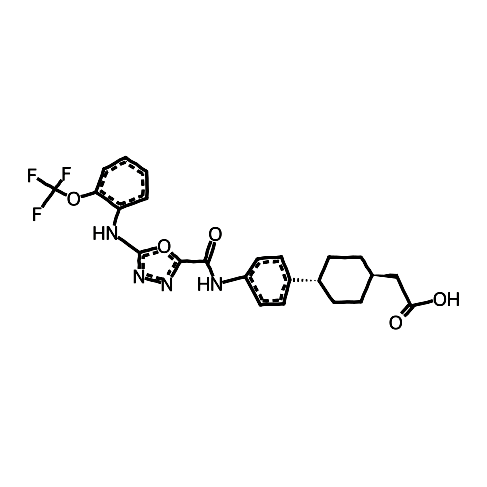 O=C(O)C[C@H]1CC[C@H](c2ccc(NC(=O)c3nnc(Nc4ccccc4OC(F)(F)F)o3)cc2)CC1